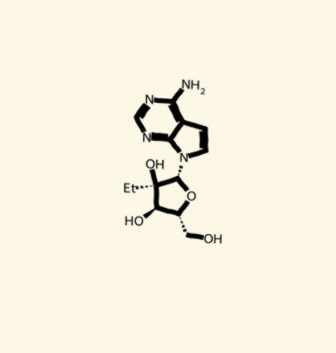 CC[C@@]1(O)[C@H](O)[C@@H](CO)O[C@H]1n1ccc2c(N)ncnc21